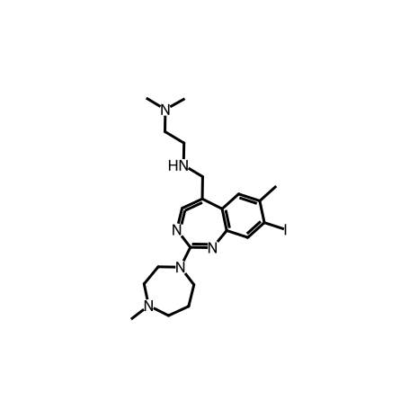 Cc1cc2c(cc1I)N=C(N1CCCN(C)CC1)N=C=C2CNCCN(C)C